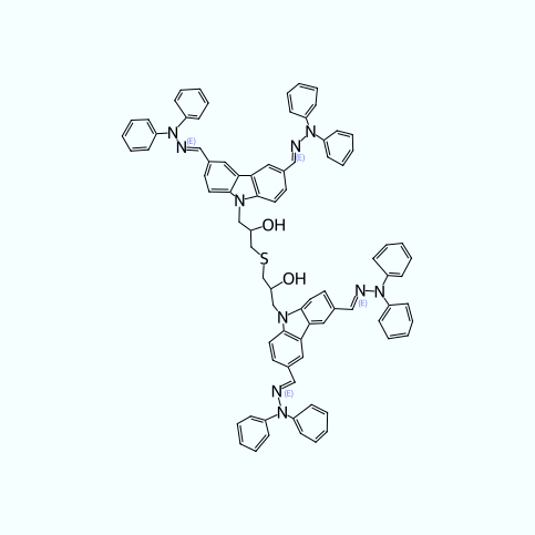 OC(CSCC(O)Cn1c2ccc(/C=N/N(c3ccccc3)c3ccccc3)cc2c2cc(/C=N/N(c3ccccc3)c3ccccc3)ccc21)Cn1c2ccc(/C=N/N(c3ccccc3)c3ccccc3)cc2c2cc(/C=N/N(c3ccccc3)c3ccccc3)ccc21